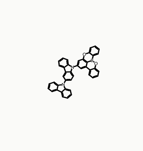 c1ccc2c(c1)Oc1cc(-n3c4ccccc4c4cc(-n5c6ccccc6c6ccccc65)ccc43)cc3c1B2Oc1ccccc1-3